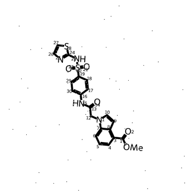 COC(=O)c1cccc2c1ccn2CC(=O)Nc1ccc(S(=O)(=O)Nc2nccs2)cc1